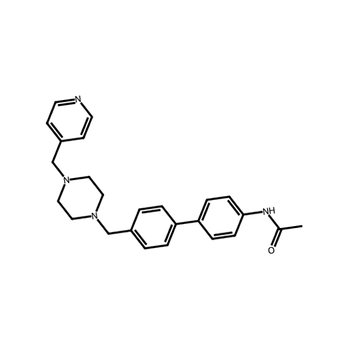 CC(=O)Nc1ccc(-c2ccc(CN3CCN(Cc4ccncc4)CC3)cc2)cc1